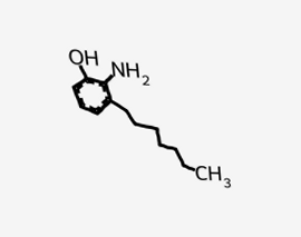 CCCCCCCc1cccc(O)c1N